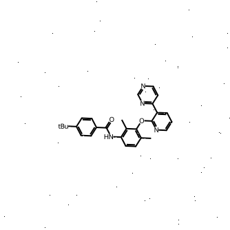 Cc1ccc(NC(=O)c2ccc(C(C)(C)C)cc2)c(C)c1Oc1ncccc1-c1ccncn1